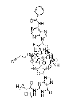 CC(C)C(=O)Nc1nc2c(ncn2[C@@H]2O[C@@H]3COP(OCCC#N)O[C@H]4[C@@H](F)[C@H](n5cnc6c(NC(=O)c7ccccc7)ncnc65)O[C@@H]4COP(=O)(S)O[C@@H]2[C@@H]3O[Si](C)(C)C(C)(C)C)c(=O)[nH]1